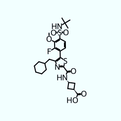 COc1c(S(=O)(=O)NC(C)(C)C)ccc(-c2sc(C(=O)N[C@H]3C[C@H](C(=O)O)C3)nc2CC2CCCCC2)c1F